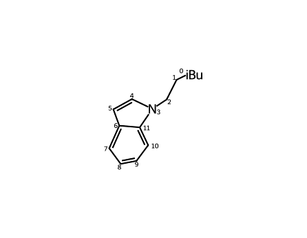 CCC(C)CCn1ccc2ccccc21